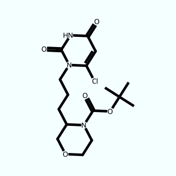 CC(C)(C)OC(=O)N1CCOCC1CCCn1c(Cl)cc(=O)[nH]c1=O